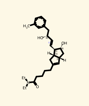 CCN(CC)C(=O)CCCCC1=C[C@H]2C[C@@H](O)[C@H](/C=C/[C@H](O)Cc3cccc(C)c3)[C@H]2C1